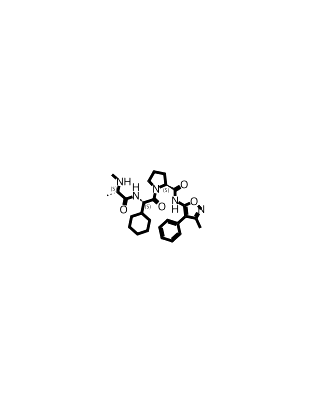 CN[C@@H](C)C(=O)N[C@H](C(=O)N1CCC[C@H]1C(=O)Nc1onc(C)c1-c1ccccc1)C1CCCCC1